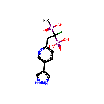 CP(=O)(O)C(F)(Cc1ccc(-c2cn[nH]c2)cn1)P(=O)(O)O